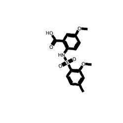 COc1ccc(NS(=O)(=O)c2ccc(C)cc2OC)c(C(=O)O)c1